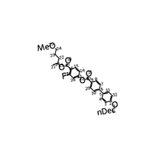 CCCCCCCCCCOc1ccc(-c2ccc(C(=O)Oc3ccc(C(=O)OC(C)CCCOC)c(F)c3)cc2)cc1